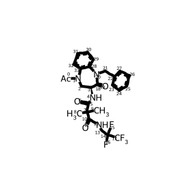 CC(=O)N1C[C@H](NC(=O)C(C)(C)C(=O)NCC(F)(F)C(F)(F)F)C(=O)N(Cc2ccccc2)c2ccccc21